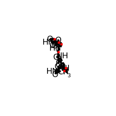 C[C@@H]1CN(c2ccc(-c3ccc(C(=O)NCCCCNc4cccc5c4C(=O)N(C4CCC(=O)NC4=O)C5=O)cc3F)cc2NC(=O)c2c[nH]c(=O)cc2C(F)(F)F)C[C@H](C)N1C